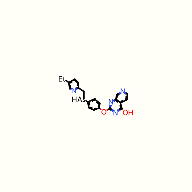 CCc1ccc(C[AsH]c2ccc(Oc3nc(O)c4ccncc4n3)cc2)nc1